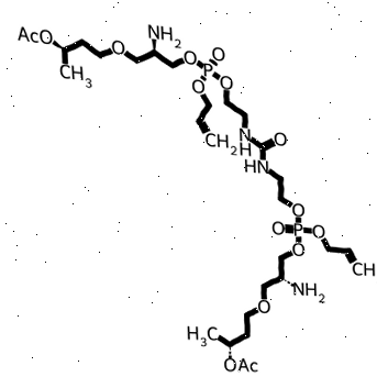 C=CCOP(=O)(OCCNC(=O)NCCOP(=O)(OCC=C)OC[C@H](N)COCC[C@@H](C)OC(C)=O)OC[C@H](N)COCC[C@@H](C)OC(C)=O